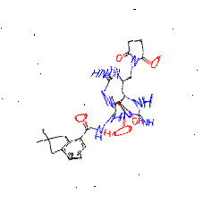 CC1(C)Cc2cccc(C(=O)NC3CN4C(=N)N[C@@H](CN5C(=O)CCC5=O)C5NC(=N)NC54C3(O)O)c2C1